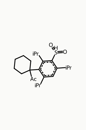 CC(=O)C1(c2c(C(C)C)cc(C(C)C)c([SH](=O)=O)c2C(C)C)CCCCC1